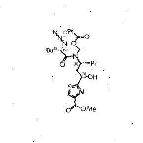 CCCC(=O)OCN(C(=O)[C@@H](N=[N+]=[N-])[C@@H](C)CC)[C@H](C[C@@H](O)c1nc(C(=O)OC)cs1)C(C)C